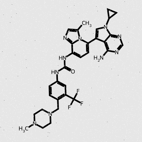 Cc1cnc2c(NC(=O)Nc3ccc(CN4CCN(C)CC4)c(C(F)(F)F)c3)ccc(-c3cn(C4CC4)c4ncnc(N)c34)n12